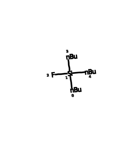 CCCC[Si](F)(CCCC)CCCC